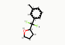 Cc1cccc(C(F)(F)C2CCCO2)c1